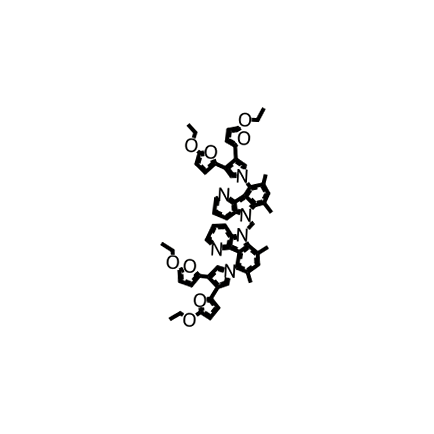 CCOc1ccc(-c2cn(-c3c(C)cc(C)c4c3c3ncccc3n4Cn3c4cccnc4c4c(-n5cc(-c6ccc(OCC)o6)c(-c6ccc(OCC)o6)c5)c(C)cc(C)c43)cc2-c2ccc(OCC)o2)o1